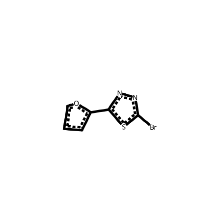 Brc1nnc(-c2ccco2)s1